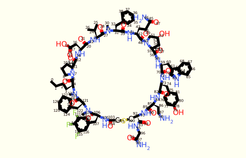 CCCC[C@H]1C(=O)N2CCC[C@@H]2C(=O)N[C@@H](CC(=O)O)C(=O)N[C@@H](C(C)C)C(=O)N(C)[C@@H](Cc2ccccc2)C(=O)N[C@@H](CCC(N)=O)C(=O)N2C[C@H](O)C[C@H]2C(=O)N[C@@H](Cc2c[nH]c3ccccc23)C(=O)N[C@@H](Cc2ccc(O)cc2)C(=O)N[C@@H](CCN)C(=O)N[C@H](C(=O)NCC(N)=O)CSCC(=O)N[C@@H](Cc2cc(F)c(F)c(F)c2)C(=O)N(C)[C@@H](Cc2ccccc2)C(=O)N1C